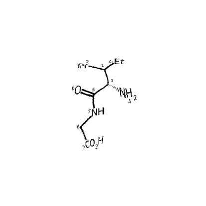 CCC(C(C)C)[C@H](N)C(=O)NCC(=O)O